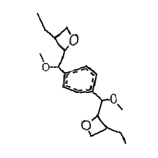 CCC1COC1C(OC)c1ccc(C(OC)C2OCC2CC)cc1